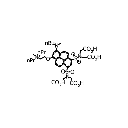 CCCCN(C)c1cc(OCC[N+](C)(CCC)CCC)c2ccc3c(S(=O)(=O)N(CC(=O)O)CC(=O)O)cc(S(=O)(=O)N(CC(=O)O)CC(=O)O)c4ccc1c2c34